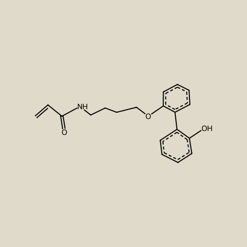 C=CC(=O)NCCCCOc1ccccc1-c1ccccc1O